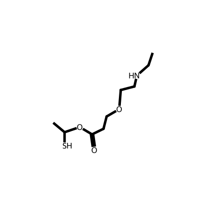 CCNCCOCCC(=O)OC(C)S